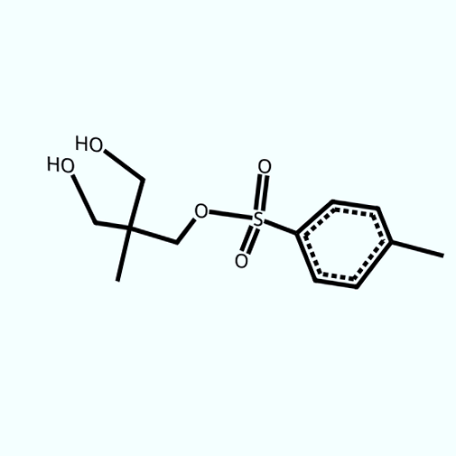 Cc1ccc(S(=O)(=O)OCC(C)(CO)CO)cc1